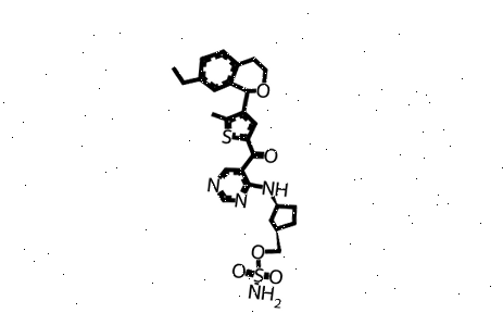 CCc1ccc2c(c1)C(c1cc(C(=O)c3cncnc3N[C@H]3CC[C@@H](COS(N)(=O)=O)C3)sc1C)OCC2